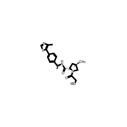 CC(=O)O[C@@H]1C[C@@H](C(=O)N[C@@H](C)c2ccc(-c3scnc3C)cc2)N(C(=O)CC(C)(C)C)C1